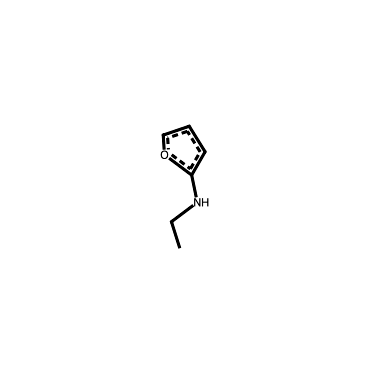 CCNc1ccco1